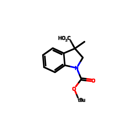 CC(C)(C)OC(=O)N1CC(C)(C(=O)O)c2ccccc21